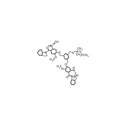 C#CNc1cc(OCc2cc(COc3cc4c(cc3OC)C(=O)N3c5ccccc5C[C@H]3CN4)cc(CSCC(C)(C)SSC)c2)c(OC)cc1C(=O)N1CCc2ccccc21